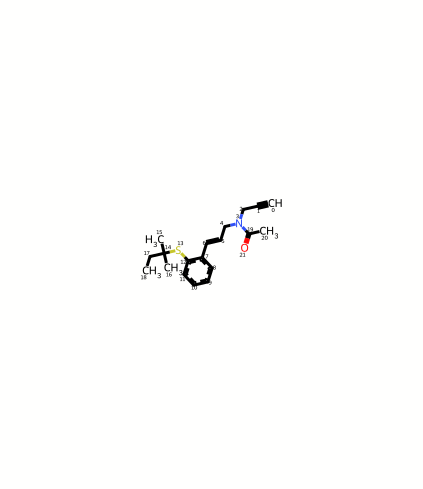 C#CCN(C/C=C/c1ccccc1SC(C)(C)CC)C(C)=O